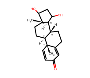 C[C@]12C=CC(=O)C=C1CC[C@@H]1[C@@H]2CC[C@]2(C)C(O)CC(O)[C@@H]12